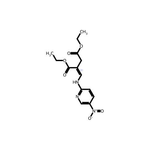 CCOC(=O)C/C(=C/Nc1ccc([N+](=O)[O-])cn1)C(=O)OCC